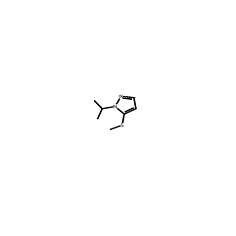 CSc1c[c]nn1C(C)C